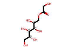 O=C(CO)OC[C@H](O)[C@@H](O)[C@H](O)[C@H](O)CO